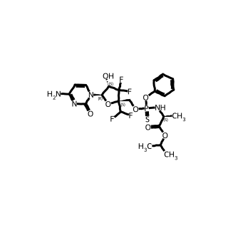 CC(C)OC(=O)[C@H](C)NP(=S)(OC[C@@]1(C(F)F)O[C@@H](n2ccc(N)nc2=O)[C@H](O)C1(F)F)Oc1ccccc1